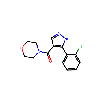 O=C(c1cn[nH]c1-c1ccccc1Cl)N1CCOCC1